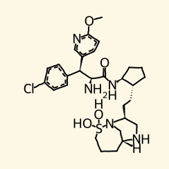 COc1ccc([C@H](c2ccc(Cl)cc2)[C@H](N)C(=O)N[C@H]2CCC[C@@H]2CC[C@H]2CN[C@@H]3CCCS(O)(O)N2C3)cn1